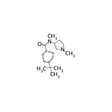 CN1CCC(N(C)C(=O)c2ccc(C(C)(C)C)cc2)C1